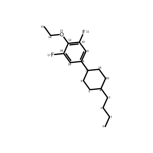 CCCCC1CCC(c2cc(F)c(OCC)c(F)c2)CC1